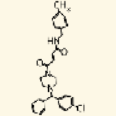 Cc1ccc(CNC(=O)C=CC(=O)N2CCN(C(c3ccccc3)c3ccc(Cl)cc3)CC2)cc1